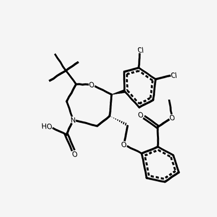 COC(=O)c1ccccc1OC[C@@H]1CN(C(=O)O)CC(C(C)(C)C)O[C@H]1c1ccc(Cl)c(Cl)c1